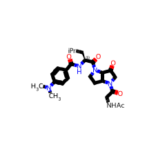 CC(=O)NCC(=O)N1CC(=O)C2C1CCN2C(=O)[C@H](CC(C)C)NC(=O)c1ccc(N(C)C)cc1